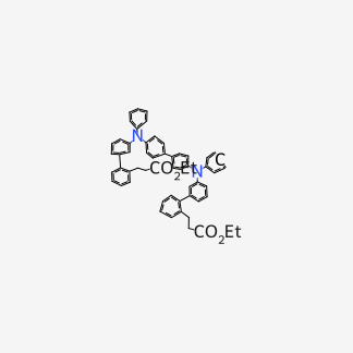 CCOC(=O)CCc1ccccc1-c1cccc(N(c2ccccc2)c2ccc(-c3ccc(N(c4ccccc4)c4cccc(-c5ccccc5CCC(=O)OCC)c4)cc3)cc2)c1